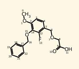 COc1ccc(COCC(=O)O)c(F)c1OCc1ccccc1